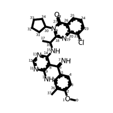 COc1ccc(C(=N)c2c(N)ncnc2NC(C)c2nc3c(Cl)cccc3c(=O)n2C2CCCC2)cc1C